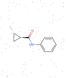 C[C@H]1C[C@@H]1C(=O)Nc1ccccc1